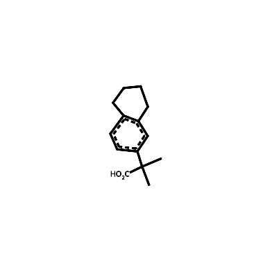 CC(C)(C(=O)O)c1ccc2c(c1)CCCC2